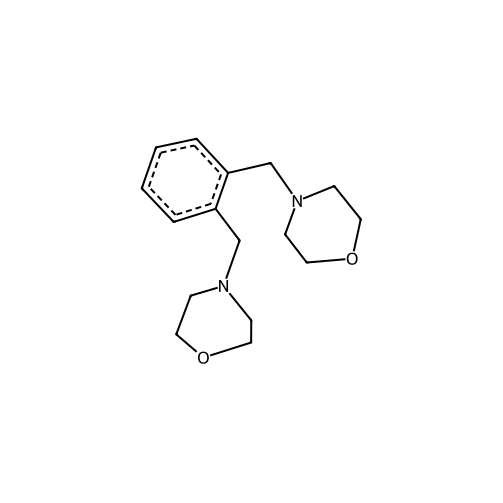 c1ccc(CN2CCOCC2)c(CN2CCOCC2)c1